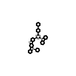 c1ccc(-c2ccc(-c3nc(-c4ccc5oc6cc7c8ccccc8n(-c8ccccc8)c7cc6c5c4)nc(-n4c5ccccc5c5ccccc54)n3)cc2)cc1